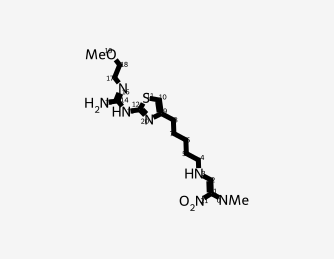 CNC(=CNCCCCCc1csc(NC(N)=NCCOC)n1)[N+](=O)[O-]